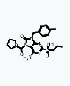 CCCS(=N)(=O)c1nc(N)c2c(n1)n(Cc1ccc(C)cc1)c(=O)n2C(=O)N1CCCC1